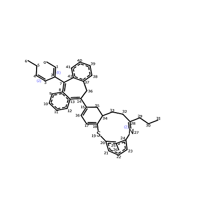 C/C=C(\C=C/CC)C1=c2ccccc2=C(C2=CC=C3Sc4cccc(c4C)/N=C(/CCC)CCC3C2)Cc2ccccc21